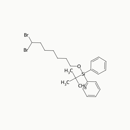 CC(C)(C)[Si](OCCCCCCC(Br)Br)(c1ccccc1)c1ccccc1